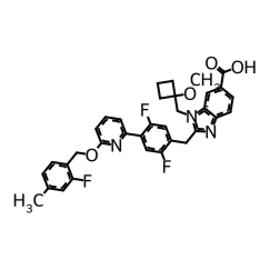 COC1(Cn2c(Cc3cc(F)c(-c4cccc(OCc5ccc(C)cc5F)n4)cc3F)nc3ccc(C(=O)O)cc32)CCC1